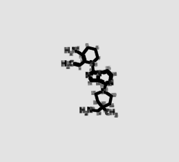 C=CC1=C(N)CCCN1c1ncc2c(N3CCC(C)(CN)CC3)nccn12